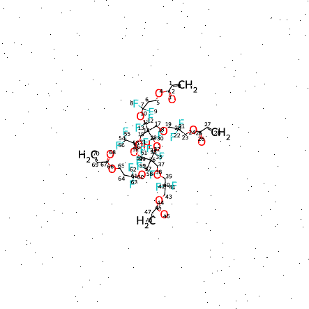 C=CC(=O)OCCC(F)(F)OC(F)(F)C(CO)(COCC(F)(F)COC(=O)C=C)C(F)(F)OC(F)(F)C(COCC(F)(F)COC(=O)C=C)(C(F)(F)OCC(F)F)C(F)(F)OC(F)(F)CCOC(=O)C=C